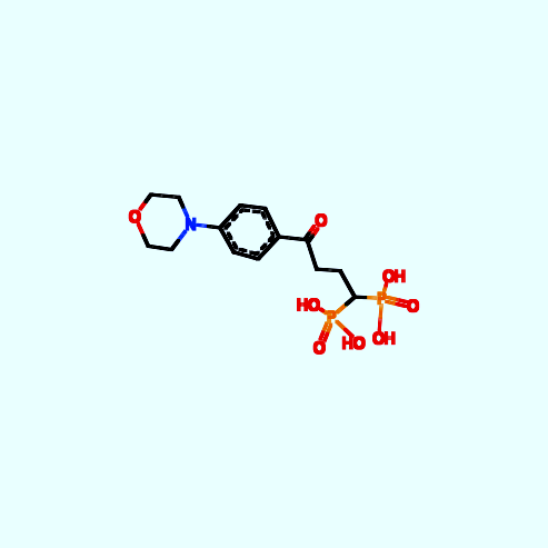 O=C(CCC(P(=O)(O)O)P(=O)(O)O)c1ccc(N2CCOCC2)cc1